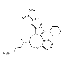 CNCCCN(C)[C@H]1COc2ccccc2-c2c(C3CCCCC3)c3ccc(C(=O)OC)cc3n2C1